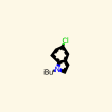 C[CH]C(C)n1ccc2cc(Cl)ccc21